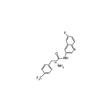 N[C@H](Cc1ccc(C(F)(F)F)cc1)C(=O)Nc1cnc2ccc(F)cc2c1